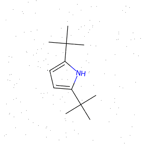 CC(C)(C)c1[c]cc(C(C)(C)C)[nH]1